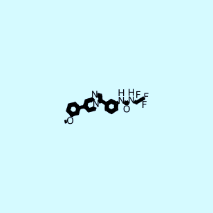 COc1cccc(-c2ccn3c(-c4cccc(NC(=O)NCC(F)(F)F)c4)cnc3c2)c1